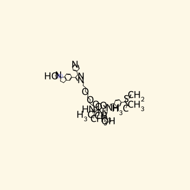 C=CSC(C1=CCC(CNC(=O)[C@@H]2C[C@@H](O)CN2C(=O)[C@@H](NC(=O)COCCOCCCn2cc(-c3ccc4c(c3)CC/C4=N\O)c(-c3ccncc3)n2)C(C)(C)C)C=C1)=C(C)C